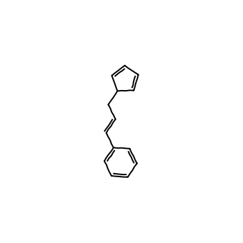 C1=CC(CC=Cc2ccccc2)C=C1